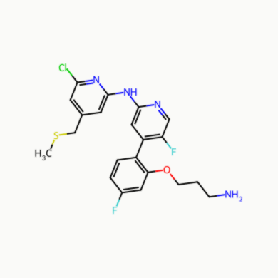 CSCc1cc(Cl)nc(Nc2cc(-c3ccc(F)cc3OCCCN)c(F)cn2)c1